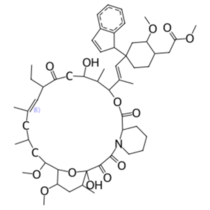 CCC1/C=C(\C)CC(C)CC(OC)C2OC(O)(C(=O)C(=O)N3CCCCC3C(=O)OC(C(C)=CC3(C4C=Cc5ccccc54)CCC(CC(=O)OC)C(OC)C3)C(C)C(O)CC1=O)C(C)CC2OC